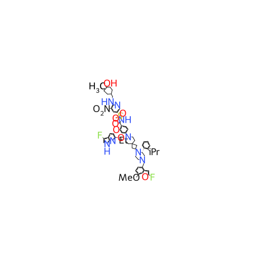 CCOc1nc2[nH]cc(F)c2cc1Oc1cc(N2CCC3(CC2)CC(N2CCN(Cc4ccc(OC)c5oc(F)cc45)C[C@H]2c2ccccc2C(C)C)C3)ccc1C(=O)NS(=O)(=O)c1cnc(NCC2CCC(C)(O)CC2)c([N+](=O)[O-])c1